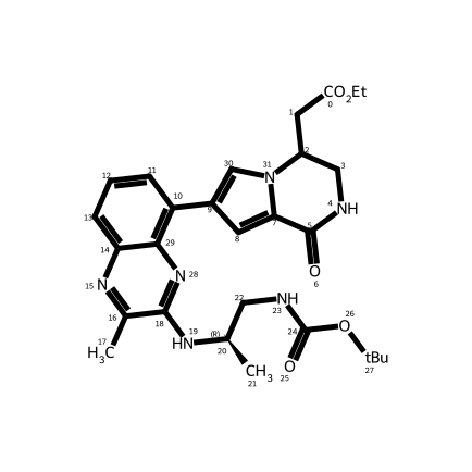 CCOC(=O)CC1CNC(=O)c2cc(-c3cccc4nc(C)c(N[C@H](C)CNC(=O)OC(C)(C)C)nc34)cn21